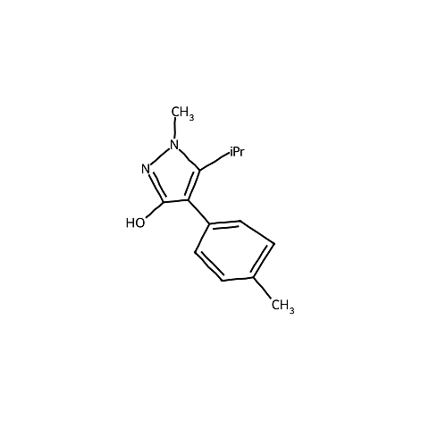 Cc1ccc(-c2c(O)nn(C)c2C(C)C)cc1